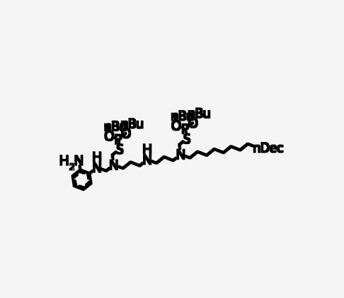 CCCCCCCCCCCCCCCCCCN(CCCNCCCN(CNc1ccccc1N)CSP(OCCCC)OCCCC)CSP(OCCCC)OCCCC